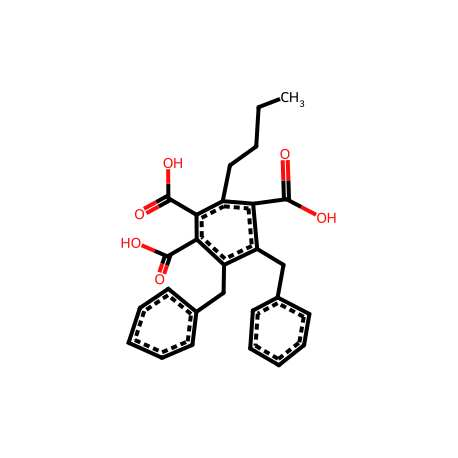 CCCCc1c(C(=O)O)c(Cc2ccccc2)c(Cc2ccccc2)c(C(=O)O)c1C(=O)O